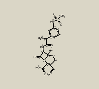 C=CC1=C(C(=O)O)N2C(=O)C(NC(=O)C(N)c3cccc(NS(C)(=O)=O)c3)[C@@H]2SC1